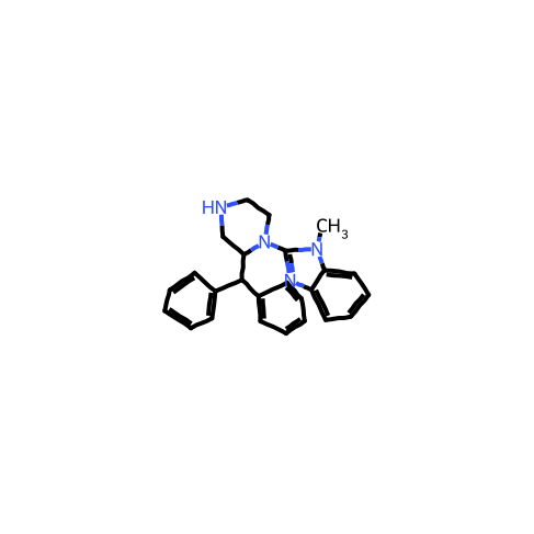 Cn1c(N2CCNCC2C(c2ccccc2)c2ccccc2)nc2ccccc21